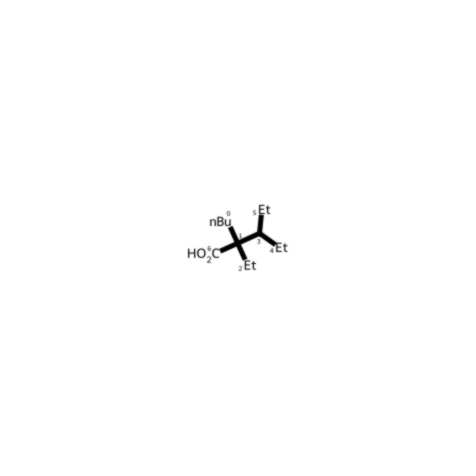 CCCCC(CC)([C](CC)CC)C(=O)O